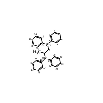 CC(CP(c1ccccc1)c1ccccc1)P(c1ccccc1)c1ccccc1